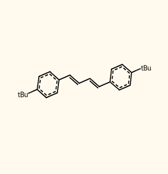 CC(C)(C)c1ccc(C=CC=Cc2ccc(C(C)(C)C)cc2)cc1